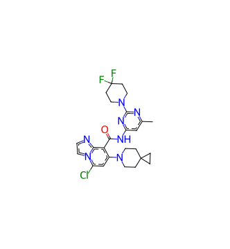 Cc1cc(NC(=O)c2c(N3CCC4(CC3)CC4)cc(Cl)n3ccnc23)nc(N2CCC(F)(F)CC2)n1